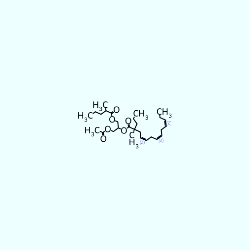 CC/C=C\C/C=C\C/C=C\CC(C)(CCC)C(=O)OC(COC(C)=O)COC(=O)C(C)CCC